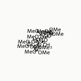 CO[Si](OC)(OC)O[Si](C)(OC(C)(C)O[Si](C)(O[Si](OC)(OC)OC)O[Si](OC)(OC)OC)O[Si](OC)(OC)OC